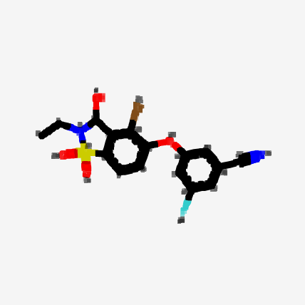 CCN1C(O)c2c(ccc(Oc3cc(F)cc(C#N)c3)c2Br)S1(=O)=O